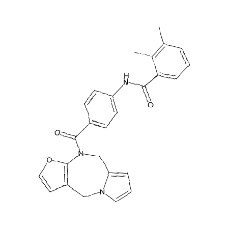 Cc1cccc(C(=O)Nc2ccc(C(=O)N3Cc4cccn4Cc4ccoc43)cc2)c1C